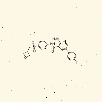 Nc1ncc(-c2ccc(F)cc2)nc1C(=O)Nc1ccc(S(=O)(=O)CC2COC2)cc1